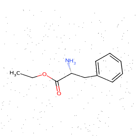 CCOC(=O)[C@H](N)Cc1ccccc1